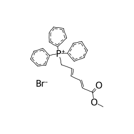 COC(=O)/C=C/C=C/C[P+](c1ccccc1)(c1ccccc1)c1ccccc1.[Br-]